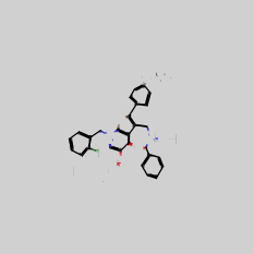 CCOC(=O)Oc1cn(Cc2ccccc2F)c2sc(-c3ccc(OC)cc3)c(CN(C)Cc3ccccc3)c2c1=O